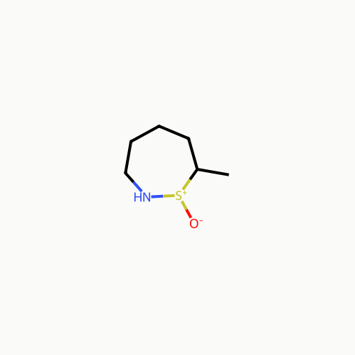 CC1CCCCN[S+]1[O-]